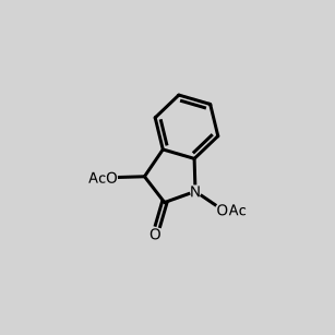 CC(=O)OC1C(=O)N(OC(C)=O)c2ccccc21